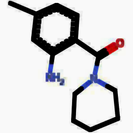 Cc1ccc(C(=O)N2CCCCC2)c(N)c1